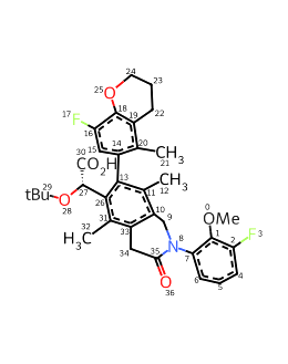 COc1c(F)cccc1N1Cc2c(C)c(-c3cc(F)c4c(c3C)CCCO4)c([C@H](OC(C)(C)C)C(=O)O)c(C)c2CC1=O